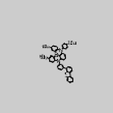 CC(C)(C)c1ccc(N2c3ccc(C(C)(C)C)cc3B3c4cc(C(C)(C)C)ccc4N(c4cccc(-c5cccc6c5sc5ccccc56)c4)c4cccc2c43)cc1